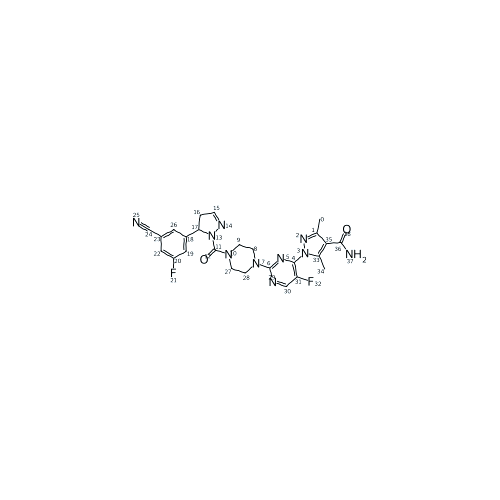 Cc1nn(-c2nc(N3CCN(C(=O)N4N=CCC4c4cc(F)cc(C#N)c4)CC3)ncc2F)c(C)c1C(N)=O